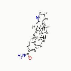 C[C@]12CC[C@@H]3c4ccc(C(N)=O)cc4CC[C@H]3[C@@H]1CC=C2c1cccnc1